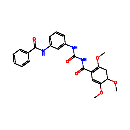 COC1=CC(C(=O)NC(=O)Nc2cccc(NC(=O)c3ccccc3)c2)=C(OC)CC1OC